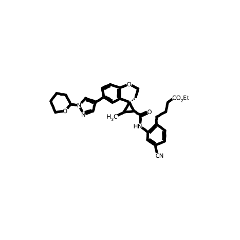 CCOC(=O)CCCc1ccc(C#N)cc1NC(=O)C1C(C)[C@]12CCOc1ccc(-c3cnn(C4CCCCO4)c3)cc12